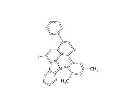 Cc1cc(C)c2c(c1)c1ncc(-c3ccccc3)c3cc(I)c4c5ccccc5n2c4c31